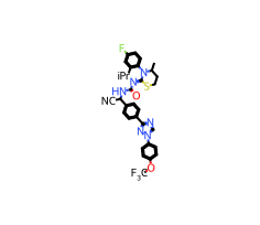 CC(C)c1cc(F)ccc1N1/C(=N/C(=O)NC(C#N)c2ccc(-c3ncn(-c4ccc(OC(F)(F)F)cc4)n3)cc2)SCCC1C